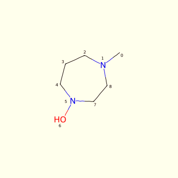 CN1CCCN(O)CC1